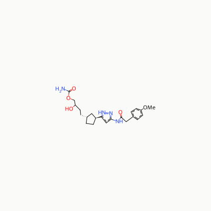 COc1ccc(CC(=O)Nc2cc([C@H]3CC[C@H](CCC(O)COC(N)=O)C3)[nH]n2)cc1